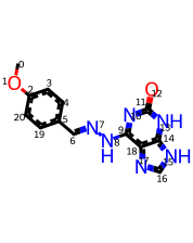 COc1ccc(C=NNc2nc(=O)[nH]c3[nH]cnc23)cc1